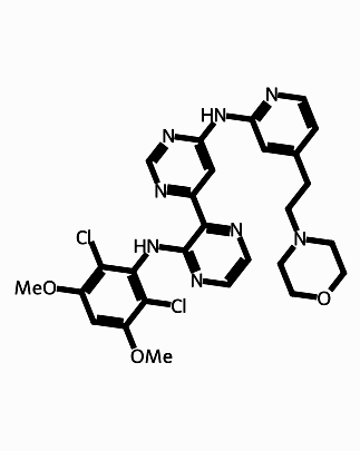 COc1cc(OC)c(Cl)c(Nc2nccnc2-c2cc(Nc3cc(CCN4CCOCC4)ccn3)ncn2)c1Cl